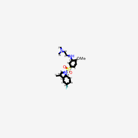 COc1ccc(S(=O)(=O)n2cc(C)c3cc(F)ccc32)cc1NCCN(C)C